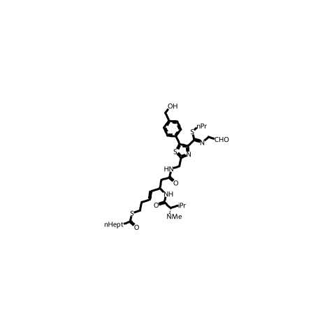 CCCCCCCC(=O)SCC/C=C/C(CC(=O)NCc1nc(/C(=N/CC=O)SCCC)c(-c2ccc(CO)cc2)s1)NC(=O)[C@@H](NC)C(C)C